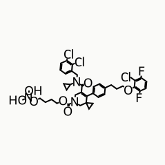 O=C(OCCCCON(O)O)N1CC(C(=O)N(Cc2cccc(Cl)c2Cl)C2CC2)=C(c2ccc(CCCOc3c(F)ccc(F)c3Cl)cc2)C2(CC2)C1